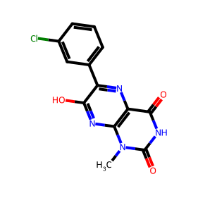 Cn1c(=O)[nH]c(=O)c2nc(-c3cccc(Cl)c3)c(O)nc21